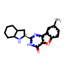 Bc1ccc2oc3c(=O)[nH]c([C@@H]4CC5CCCCC5N4)nc3c2c1